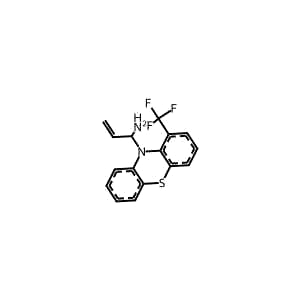 C=CC(N)N1c2ccccc2Sc2cccc(C(F)(F)F)c21